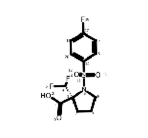 O=C(O)[C@]1(C(F)F)CCCN1S(=O)(=O)c1ccc(F)cc1